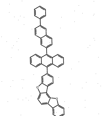 c1ccc(-c2ccc3cc(-c4c5ccccc5c(-c5ccc6c(c5)oc5ccc7c8ccccc8oc7c56)c5ccccc45)ccc3c2)cc1